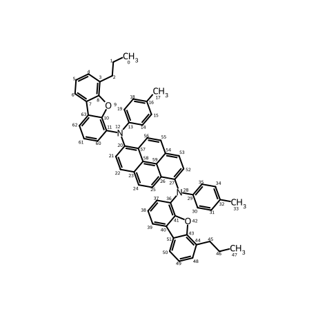 CCCc1cccc2c1oc1c(N(c3ccc(C)cc3)c3ccc4ccc5c(N(c6ccc(C)cc6)c6cccc7c6oc6c(CCC)cccc67)ccc6ccc3c4c65)cccc12